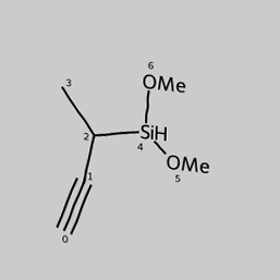 C#CC(C)[SiH](OC)OC